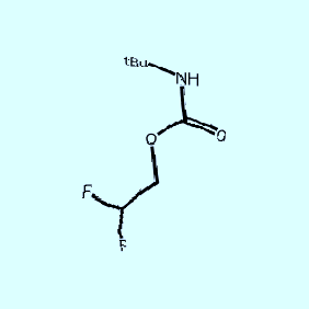 CC(C)(C)NC(=O)OCC(F)F